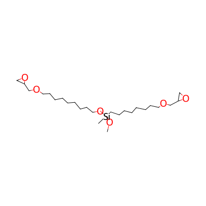 CO[Si](C)(CCCCCCCCOCC1CO1)OCCCCCCCCCOCC1CO1